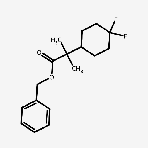 CC(C)(C(=O)OCc1ccccc1)C1CCC(F)(F)CC1